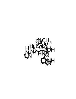 Cc1noc(C)c1S(=O)(=O)NC(CCCCNC1N=CCCN1)(NC(=O)c1cccc2cn[nH]c12)C(=O)O